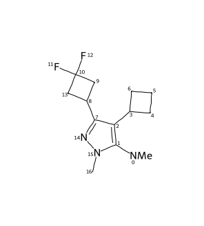 CNc1c(C2CCC2)c(C2CC(F)(F)C2)nn1C